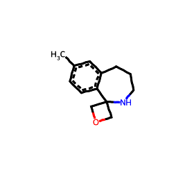 Cc1ccc2c(c1)CCCNC21COC1